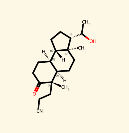 CC(O)[C@H]1CC[C@H]2[C@@H]3CCC(=O)[C@@](C)(CCC#N)[C@@H]3CC[C@]12C